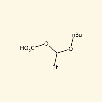 CCCCOC(CC)OC(=O)O